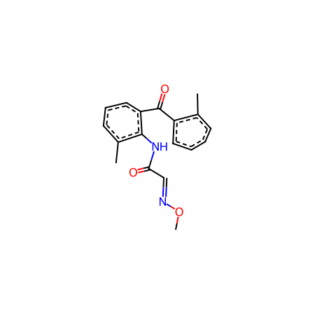 CO/N=C/C(=O)Nc1c(C)cccc1C(=O)c1ccccc1C